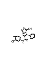 Cc1ccc(N(C)C(=O)c2sc3nnc(S)n3c2-c2ccccc2)cc1Cl